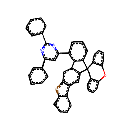 c1ccc(-c2cc(-c3cccc4c3-c3cc5sc6ccccc6c5cc3C43c4ccccc4Oc4ccccc43)nc(-c3ccccc3)n2)cc1